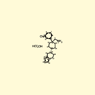 Cl.Cl.NC[C@]1(c2cccc(Cl)c2)CC[C@@H](N2CCn3cnnc3C2)CC1